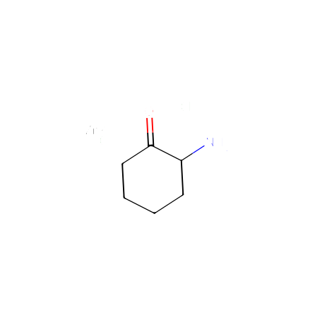 NC1CCCCC1=O.[Cl-].[Cl-].[Zn+2]